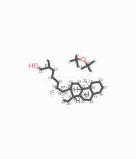 CC(C)(C)OC(C)(C)C.CC(CO)CCC[C@@H](C)[C@H]1CC[C@H]2[C@@H]3CCC4CCCC[C@]4(C)[C@H]3CC[C@]12C